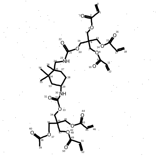 C=CC(=O)OCC(COC(=O)C=C)(COC(=O)C=C)COC(=O)NCC1(C)CCC(NC(=O)OCC(COC(C)=O)(COC(=O)C=C)COC(=O)C=C)CC1(C)C